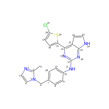 Cc1nccn1Cc1ccc(Nc2nc(-c3ccc(Cl)s3)c3cc[nH]c3n2)cc1